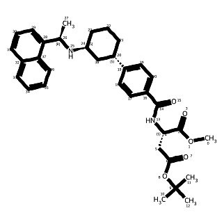 COC(=O)[C@H](CC(=O)OC(C)(C)C)NC(=O)c1ccc([C@H]2CCC[C@H](N[C@H](C)c3cccc4ccccc34)C2)cc1